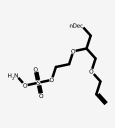 C=CCOCC(CCCCCCCCCCC)OCCOS(=O)(=O)ON